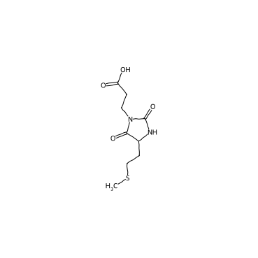 CSCCC1NC(=O)N(CCC(=O)O)C1=O